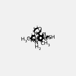 Cc1cc(N2CCCOCC2c2ccc(C)c(OCS)c2Cl)nc(N)n1